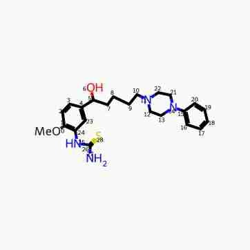 COc1ccc(C(O)CCCCN2CCN(c3ccccc3)CC2)cc1NC(N)=S